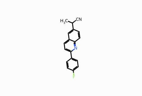 CC(C#N)c1ccc2nc(-c3ccc(F)cc3)ccc2c1